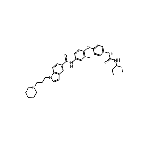 CCC(CC)NC(=O)Nc1ccc(Oc2ccc(NC(=O)c3ccc4c(ccn4CCCN4CCCCC4)c3)cc2C)cc1